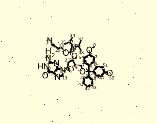 COc1ccc(C(OC[C@H]2O[C@@H](n3cnc4c(=O)[nH]c(N)nc43)C[C@@H]2OP(OCCC#N)N(C(C)C)C(C)C)(c2ccccc2)c2ccc(OC)cc2)cc1